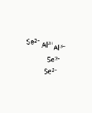 [Al+3].[Al+3].[Se-2].[Se-2].[Se-2]